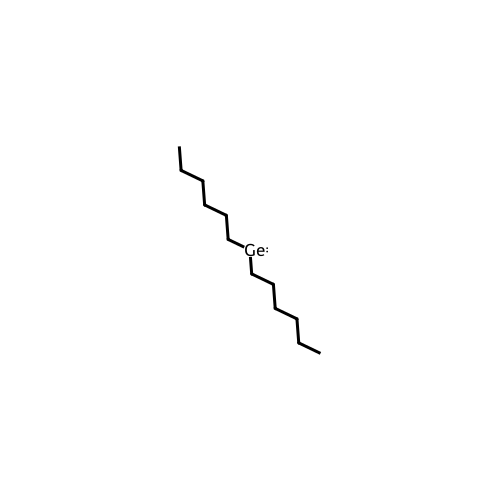 CCCCC[CH2][Ge][CH2]CCCCC